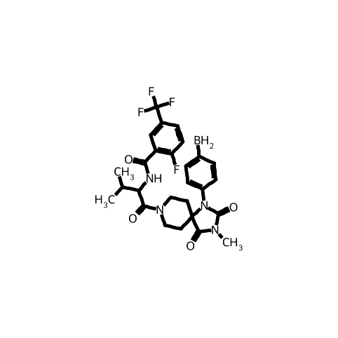 Bc1ccc(N2C(=O)N(C)C(=O)C23CCN(C(=O)C(NC(=O)c2cc(C(F)(F)F)ccc2F)C(C)C)CC3)cc1